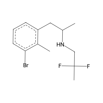 Cc1c(Br)cccc1CC(C)NCC(C)(F)F